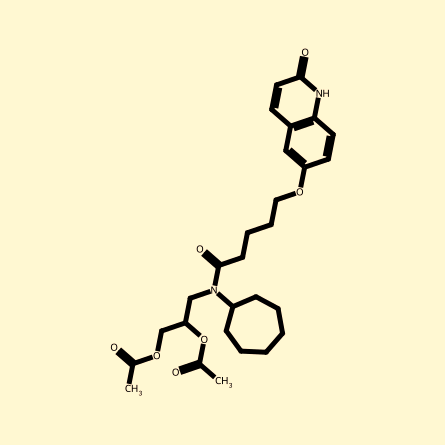 CC(=O)OCC(CN(C(=O)CCCCOc1ccc2[nH]c(=O)ccc2c1)C1CCCCCC1)OC(C)=O